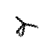 CCCOCCOCC(COCCOCCN)(COCCOCCN)COCCOCCN